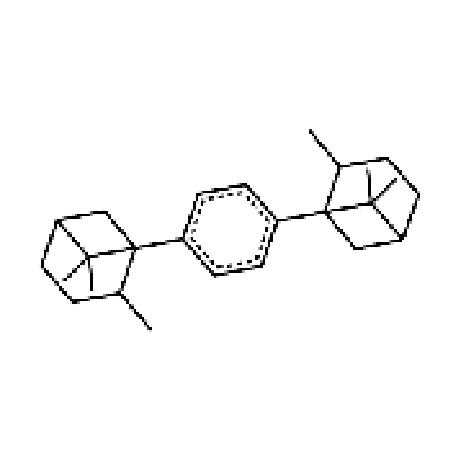 CC1CCC2CC1(c1ccc(C34CC(CCC3C)C4(C)C)cc1)C2(C)C